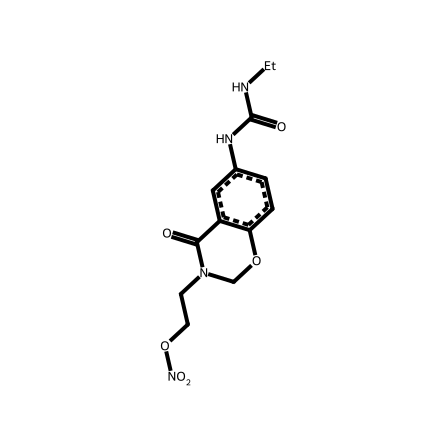 CCNC(=O)Nc1ccc2c(c1)C(=O)N(CCO[N+](=O)[O-])CO2